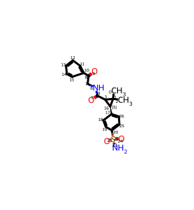 CC1(C)C(C(=O)NCC(=O)c2ccccc2)[C@@H]1c1ccc(S(N)(=O)=O)cc1